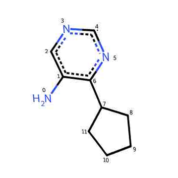 Nc1cn[c]nc1C1CCCC1